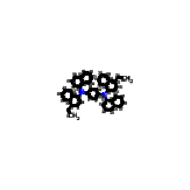 C=Cc1ccc(N(c2ccc(N(c3cccc4ccccc34)c3ccc(C=C)c4ccccc34)cc2)c2cccc3ccccc23)c2ccccc12